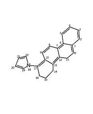 C1=c2ccccc2=c2ccc3c(c2C1)CCCC=3n1cccc1